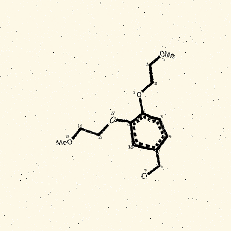 COCCOc1ccc(CCl)cc1OCCOC